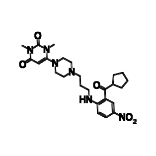 Cn1c(N2CCN(CCCNc3ccc([N+](=O)[O-])cc3C(=O)C3CCCC3)CC2)cc(=O)n(C)c1=O